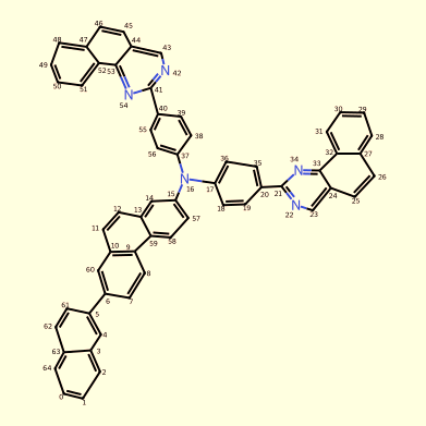 c1ccc2cc(-c3ccc4c(ccc5cc(N(c6ccc(-c7ncc8ccc9ccccc9c8n7)cc6)c6ccc(-c7ncc8ccc9ccccc9c8n7)cc6)ccc54)c3)ccc2c1